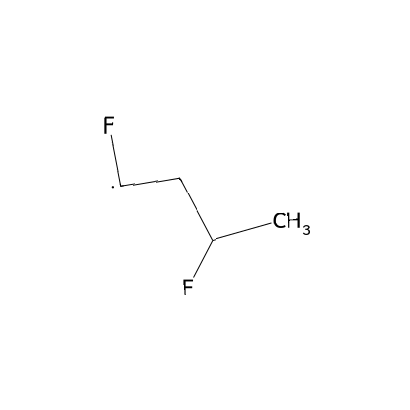 CC(F)C[CH]F